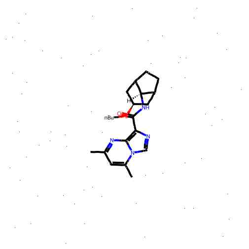 CCCCO[C@H]1CC2CCC(C1)[C@H]2NC(=O)c1ncn2c(C)cc(C)nc12